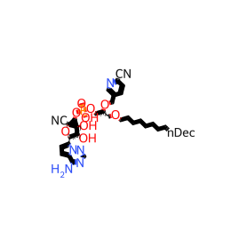 CCCCCCCCCCCCCCCCCCOC[C@H](COP(=O)(O)OC1[C@@]2(C#N)O[C@@H](c3ccc4c(N)ncnn34)[C@H](O)[C@@]12O)OCc1ccc(C#N)nc1